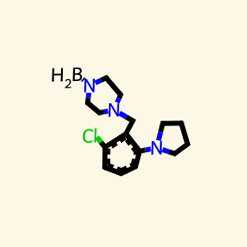 BN1CCN(Cc2c(Cl)cccc2N2CCCC2)CC1